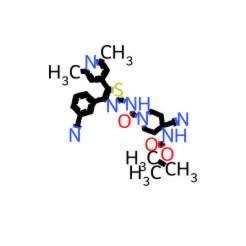 Cc1cc(-c2sc(NC(=O)N3CCC(C#N)(NC(=O)OC(C)(C)C)CC3)nc2-c2cccc(C#N)c2)cc(C)n1